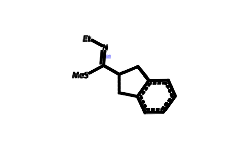 CC/N=C(\SC)C1Cc2ccccc2C1